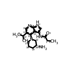 CCC(=O)Nc1c[nH]c2ncc(C(C)C)c(N3CCC[C@@H](N)C3)c12